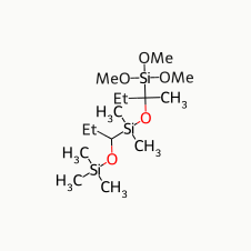 CCC(O[Si](C)(C)C)[Si](C)(C)OC(C)(CC)[Si](OC)(OC)OC